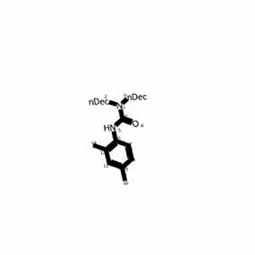 CCCCCCCCCCN(CCCCCCCCCC)C(=O)Nc1ccc(C)cc1C